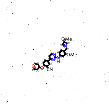 COc1cc(Nc2nccc(-c3ccc(OC4CCOCC4)c(C#N)c3)n2)ccc1CN1CC(OC)C1